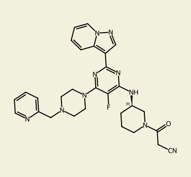 N#CCC(=O)N1CCC[C@@H](Nc2nc(-c3cnn4ccccc34)nc(N3CCN(Cc4ccccn4)CC3)c2F)C1